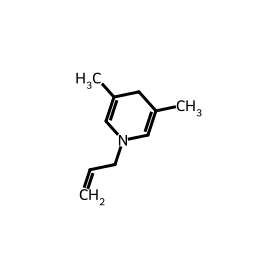 C=CCN1C=C(C)CC(C)=C1